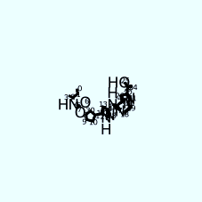 CCC(C)NC(=O)OC1CCC(c2cc(Nc3nccn4nc(C(C)O)cc34)n[nH]2)C1